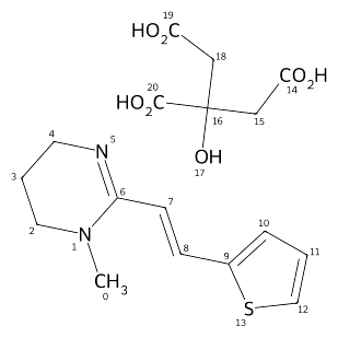 CN1CCCN=C1/C=C/c1cccs1.O=C(O)CC(O)(CC(=O)O)C(=O)O